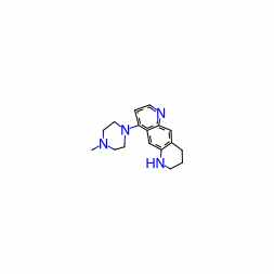 CN1CCN(c2ccnc3cc4c(cc23)NCCC4)CC1